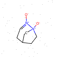 [O-][N+]1=CCC2CC[N+]1([O-])CC2